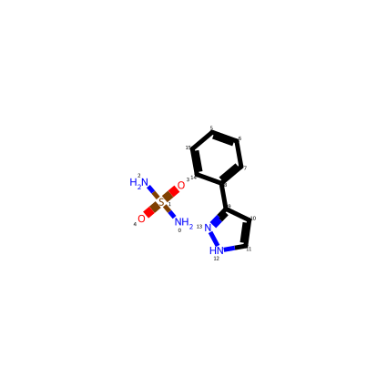 NS(N)(=O)=O.c1ccc(-c2cc[nH]n2)cc1